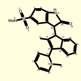 CNS(=O)(=O)c1ccc2c(c1)C(C1C(C)=C(C3C=CC=CN3C)c3ccccc31)C(=O)N2